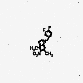 Cc1cc2c(ccn2Cc2ccc(F)c(F)c2)c(C)c1[N+](=O)[O-]